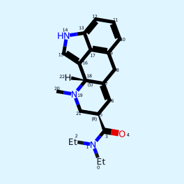 CCN(CC)C(=O)[C@@H]1C=C2Cc3cccc4[nH]cc(c34)[C@H]2N(C)C1